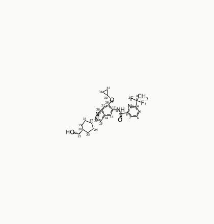 CC(F)(F)c1cccc(C(=O)Nc2cc3cn([C@H]4CC[C@H](CO)CC4)nc3cc2OC2CC2)n1